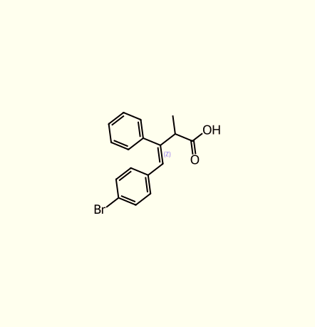 CC(C(=O)O)/C(=C/c1ccc(Br)cc1)c1ccccc1